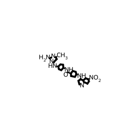 Cc1cc(Nc2ccc(NC(=O)c3ccc(Nc4ccnc5ccc([N+](=O)[O-])cc45)cc3)cc2)nc(N)n1